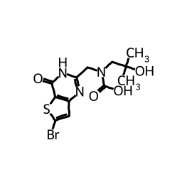 CC(C)(O)CN(Cc1nc2cc(Br)sc2c(=O)[nH]1)C(=O)O